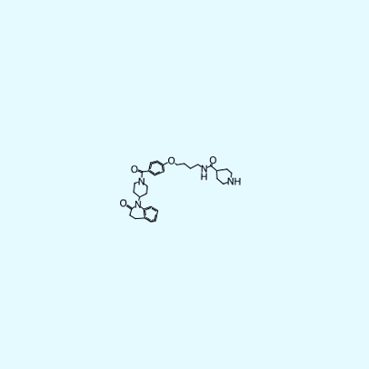 O=C(NCCCCOc1ccc(C(=O)N2CCC(N3C(=O)CCc4ccccc43)CC2)cc1)C1CCNCC1